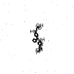 O=C(O)CCNc1ccc([C@H](Nc2ccc(-n3cnc(C(F)(F)F)c3)nc2)C2CCCC2)cc1